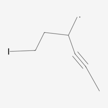 [CH2]C(C#CC)CCI